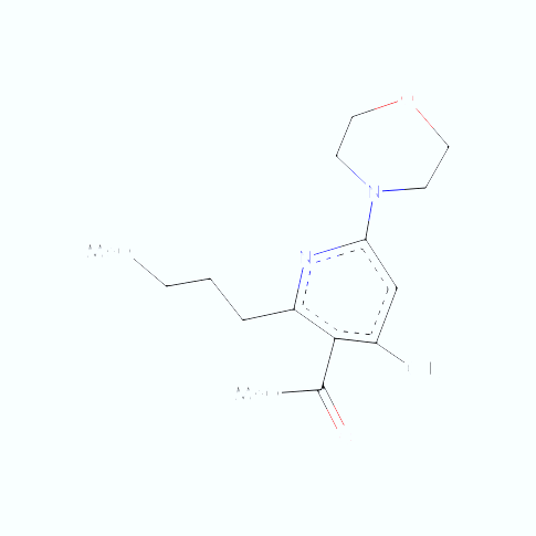 COCCCc1nc(N2CCOCC2)cc(C)c1C(=O)OC